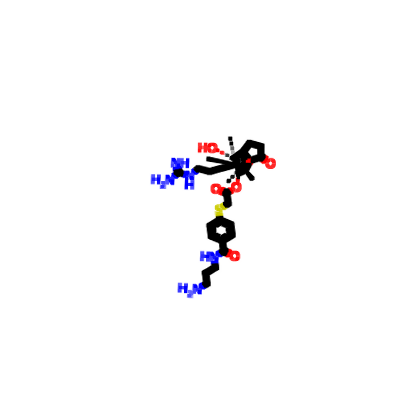 C[C@@H]1CC[C@@]23CCC(=O)C2[C@]1(C)[C@H](OC(=O)CSc1ccc(C(=O)NCCCN)cc1)C[C@](C)(CCNC(=N)N)[C@@H](O)[C@@H]3C